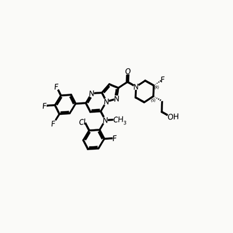 CN(c1c(F)cccc1Cl)c1cc(-c2cc(F)c(F)c(F)c2)nc2cc(C(=O)N3CC[C@@H](CCO)[C@@H](F)C3)nn12